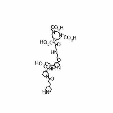 O=C(O)C[C@H](NC(=O)[C@@H]1CCCN(C(=O)CCC2CCNCC2)C1)c1cncc(OCCNCCC(=O)C(C(=O)O)N2CCN(CC(=O)O)CCN(CC(=O)O)CC2)c1